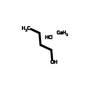 CCCCO.Cl.[GaH3]